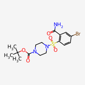 CC(C)(C)OC(=O)N1CCN(S(=O)(=O)c2ccc(Br)cc2C(N)=O)CC1